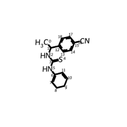 CC(NC(=S)NC1=CC[CH]C=C1)c1ccc(C#N)cc1